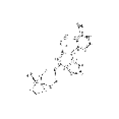 Cc1nc(N2CCC3(CCC[C@H]3N)CC2)n2ccnc2c1-c1ccnc(N)c1Cl